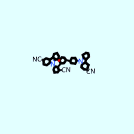 N#Cc1ccc2c(c1)c1ccccc1n2-c1ccc(-c2cccc(-c3c(C#N)cccc3-n3c4ccccc4c4cc(C#N)ccc43)c2)cc1